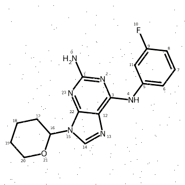 Nc1nc(Nc2cccc(F)c2)c2ncn(C3CCCCO3)c2n1